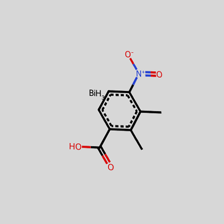 Cc1c(C(=O)O)ccc([N+](=O)[O-])c1C.[BiH3]